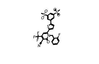 CS(=O)(=O)c1cc(-c2ccc(-c3cc(C(F)(F)F)c(C#N)c(=O)n3Cc3ccccc3F)s2)cc(S(C)(=O)=O)c1